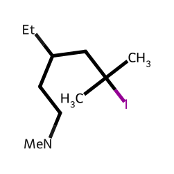 CCC(CCNC)CC(C)(C)I